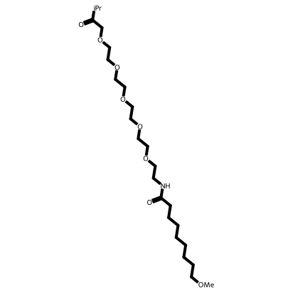 COCCCCCCCCC(=O)NCCOCCOCCOCCOCCOCC(=O)C(C)C